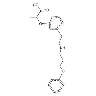 CC(Oc1cccc(CCNCCCOc2ccccc2)c1)C(=O)O